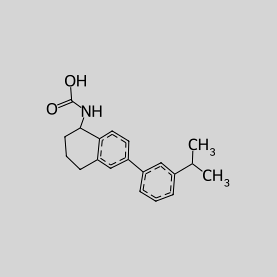 CC(C)c1cccc(-c2ccc3c(c2)CCCC3NC(=O)O)c1